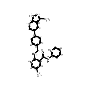 Nc1n[nH]c2ncc(-c3ccc(CNc4ncc(C(F)(F)F)cc4C(=O)Nc4ccccn4)cc3)cc12